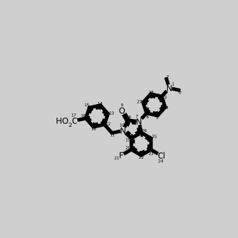 CN(C)c1ccc(-n2c(=O)n(Cc3cccc(C(=O)O)c3)c3c(F)cc(Cl)cc32)cc1